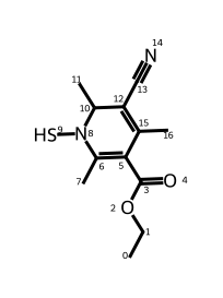 CCOC(=O)C1=C(C)N(S)C(C)C(C#N)=C1C